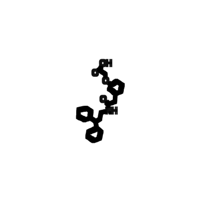 O=C(O)COc1cccc(CC(=O)NCCC(c2ccccc2)c2ccccc2)c1